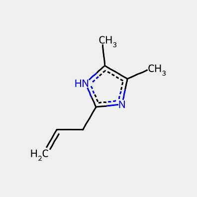 C=CCc1nc(C)c(C)[nH]1